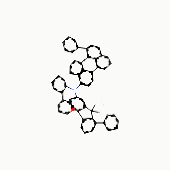 CC1(C)c2cc(N(c3ccc(-c4cccc5ccc(-c6ccccc6)c(-c6ccccc6)c45)cc3)c3ccccc3-c3ccccc3)ccc2-c2cccc(-c3ccccc3)c21